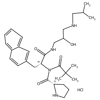 CC(C)CNCC(O)CNC(=O)[C@@H](Cc1ccc2ccccc2c1)N(C(=O)[C@@H]1CCCN1)C(=O)C(C)(C)C.Cl